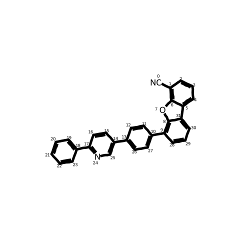 N#Cc1cccc2c1oc1c(-c3ccc(-c4ccc(-c5ccccc5)nc4)cc3)cccc12